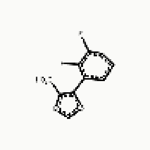 O=C(O)c1ncsc1-c1cccc(F)c1F